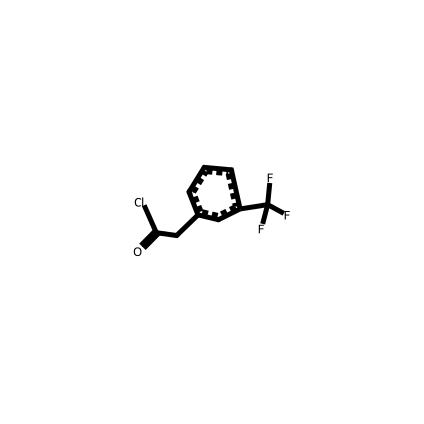 O=C(Cl)Cc1cccc(C(F)(F)F)c1